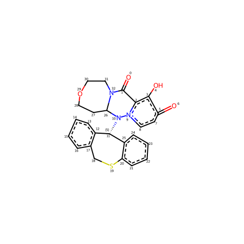 O=C1c2c(O)c(=O)ccn2N([C@H]2c3ccccc3CSc3ccccc32)C2CCOCCN12